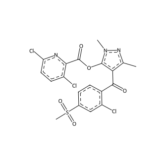 Cc1nn(C)c(OC(=O)c2nc(Cl)ccc2Cl)c1C(=O)c1ccc(S(C)(=O)=O)cc1Cl